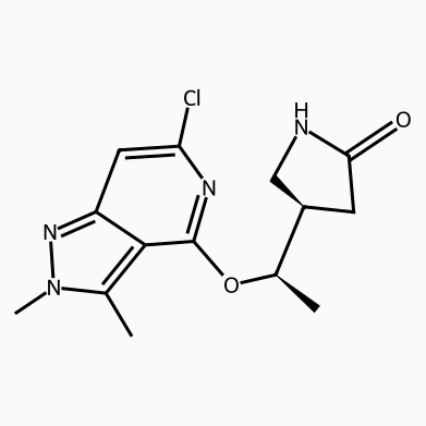 Cc1c2c(O[C@H](C)[C@H]3CNC(=O)C3)nc(Cl)cc2nn1C